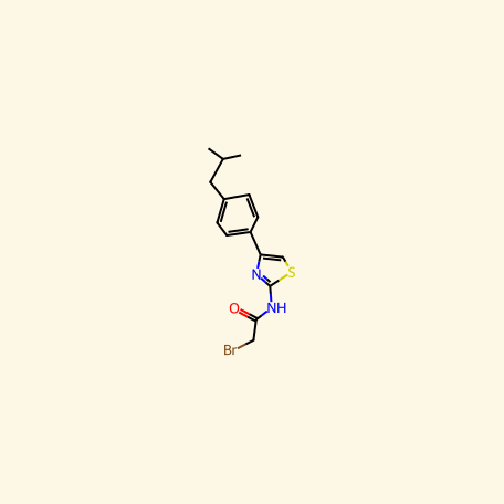 CC(C)Cc1ccc(-c2csc(NC(=O)CBr)n2)cc1